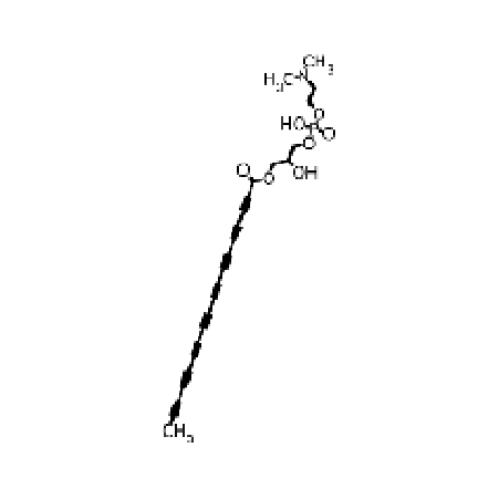 CC#CC#CC#CC#CC#CC#CC#CC#CC(=O)OCC(O)COP(=O)(O)OCCN(C)C